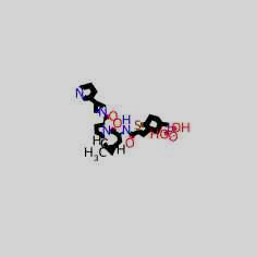 C[C@]12C[C@H]3CC[C@@H](C(=O)N4CC(c5cccnc5)C4)N3C(=O)[C@@H](NC(=O)c3cc4cc(CP(=O)(O)O)ccc4s3)C[C@H]1C2